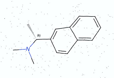 C[C@H](c1ccc2ccccc2c1)N(C)C